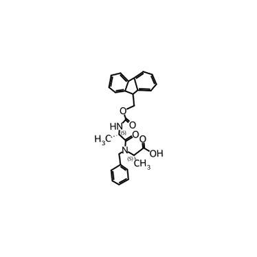 C[C@H](NC(=O)OCC1c2ccccc2-c2ccccc21)C(=O)N(Cc1ccccc1)[C@@H](C)C(=O)O